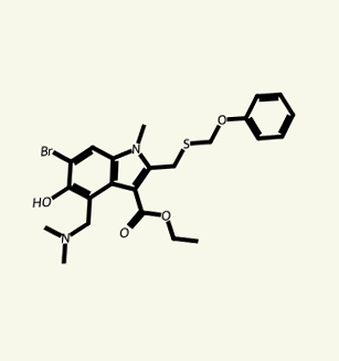 CCOC(=O)c1c(CSCOc2ccccc2)n(C)c2cc(Br)c(O)c(CN(C)C)c12